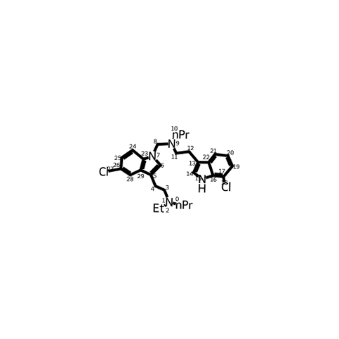 CCCN(CC)CCc1cn(CN(CCC)CCc2c[nH]c3c(Cl)cccc23)c2ccc(Cl)cc12